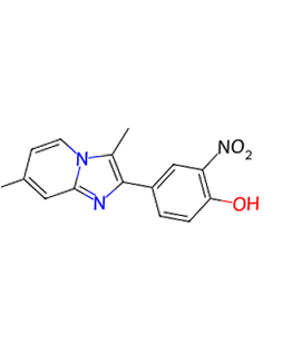 Cc1ccn2c(C)c(-c3ccc(O)c([N+](=O)[O-])c3)nc2c1